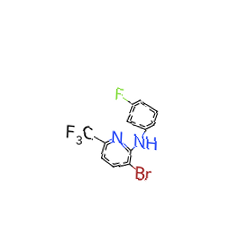 Fc1cccc(Nc2nc(C(F)(F)F)ccc2Br)c1